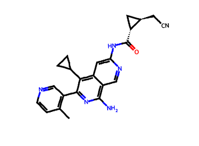 Cc1ccncc1-c1nc(N)c2cnc(NC(=O)[C@@H]3C[C@H]3CC#N)cc2c1C1CC1